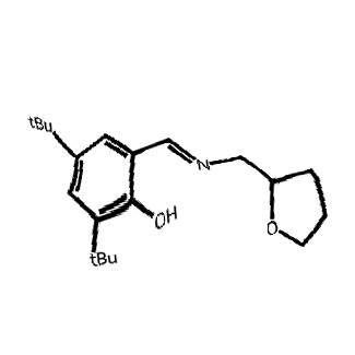 CC(C)(C)c1cc(/C=N/CC2CCCO2)c(O)c(C(C)(C)C)c1